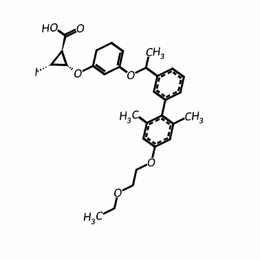 CCOCCOc1cc(C)c(-c2cccc(C(C)OC3=CCCC(O[C@@H]4[C@H](I)[C@H]4C(=O)O)=C3)c2)c(C)c1